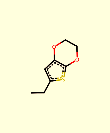 CCc1cc2c(s1)OCCO2